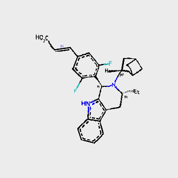 CC[C@@H]1Cc2c([nH]c3ccccc23)[C@@H](c2c(F)cc(/C=C/C(=O)O)cc2F)N1[C@@H]1CC2CC1C2